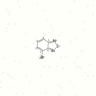 Brc1[c]ccc2nsnc12